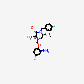 C[C@@H]1CN(COc2ccc(Cl)cc2N)[C@@H](C)C(=C=O)N1Cc1ccc(F)cc1